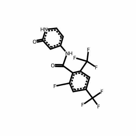 O=C(Nc1cc[nH]c(=O)c1)c1c(F)cc(C(F)(F)F)cc1C(F)(F)F